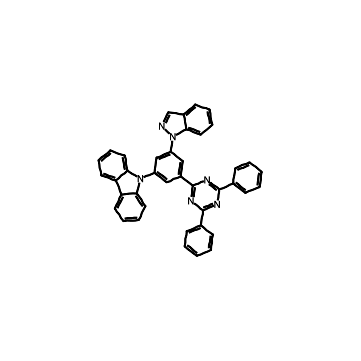 c1ccc(-c2nc(-c3ccccc3)nc(-c3cc(-n4ncc5ccccc54)cc(-n4c5ccccc5c5ccccc54)c3)n2)cc1